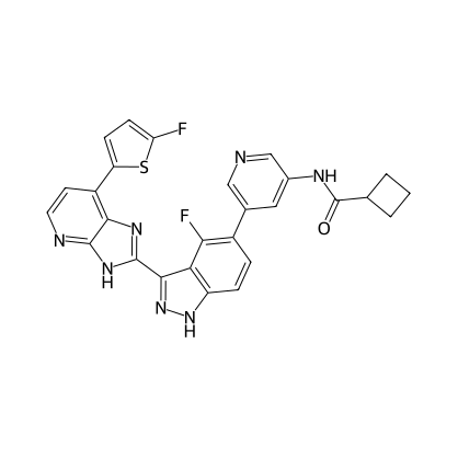 O=C(Nc1cncc(-c2ccc3[nH]nc(-c4nc5c(-c6ccc(F)s6)ccnc5[nH]4)c3c2F)c1)C1CCC1